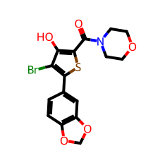 O=C(c1sc(-c2ccc3c(c2)OCO3)c(Br)c1O)N1CCOCC1